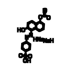 O=[SH](=O)Oc1cccc2c(N=Nc3ccc(S(=O)(=O)O)cc3)c(O)ccc12.[NaH].[NaH]